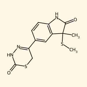 CSC1(C)C(=O)Nc2ccc(C3=NNC(=O)SC3)cc21